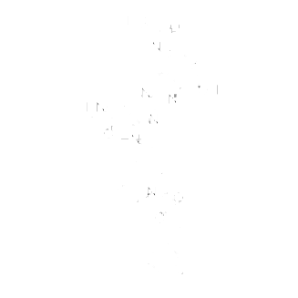 CC(=O)Nc1ccc(O)c(Nc2ncc(C(N)=O)c(NCC3CCCN(C(=O)OCc4ccccc4)C3)n2)c1